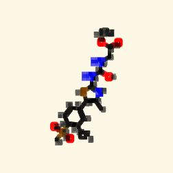 Cc1nc(NC(=O)NCC(=O)OC(C)(C)C)sc1-c1ccc(S(C)(=O)=O)c(C(F)(F)F)c1